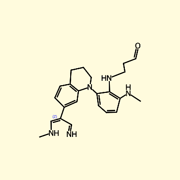 CN/C=C(\C=N)c1ccc2c(c1)N(c1cccc(NC)c1NCCC=O)CCC2